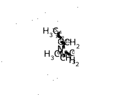 C=CCN(C)/C(C)=N\CC(=C)OCCCC